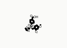 COc1ccc(CN(c2nccs2)S(=O)(=O)c2ccc(C(=O)O)cc2)c(OC)c1